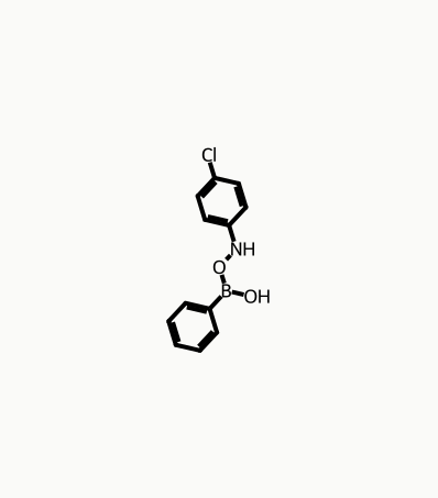 OB(ONc1ccc(Cl)cc1)c1ccccc1